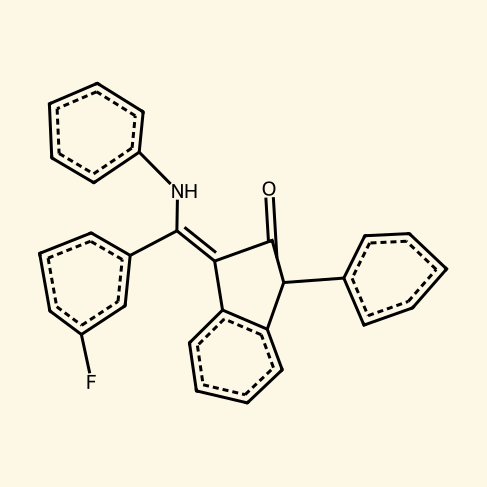 O=C1/C(=C(\Nc2ccccc2)c2cccc(F)c2)c2ccccc2C1c1ccccc1